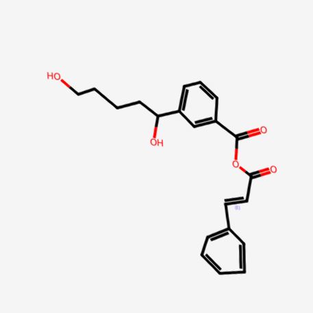 O=C(/C=C/c1ccccc1)OC(=O)c1cccc(C(O)CCCCO)c1